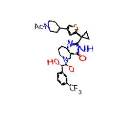 CC(=O)N1CCC(c2csc(C3(c4nc5c(c(=O)[nH]4)CN(C(=O)[C@H](O)c4cccc(C(F)(F)F)c4)CCC5)CC3)c2)CC1